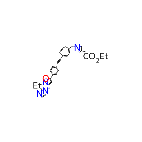 CCOC(=O)CC1CN(CC2=CC=C(C#Cc3ccc(-c4cc(Cn5ccnc5CC)no4)cc3)C=CC2)C1